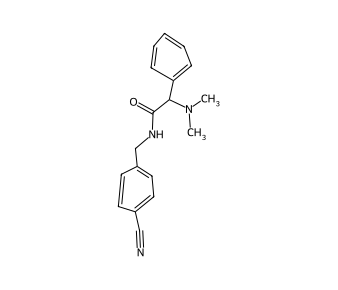 CN(C)C(C(=O)NCc1ccc(C#N)cc1)c1ccccc1